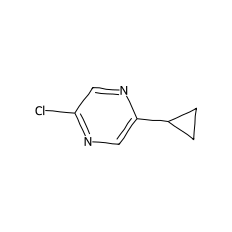 Clc1cnc(C2CC2)cn1